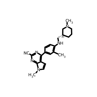 Cc1cc(-c2nc(C#N)nc3c2ccn3C)ccc1NC[C@H]1CCCN(C)C1